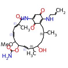 C=CCNC1=C2C[C@@H](C)CCC(O)[C@@H](C)/C=C/C(OC(N)=O)C(OC)/C=C\C=C(/C)C(=O)NC(=CC1=O)C2=O